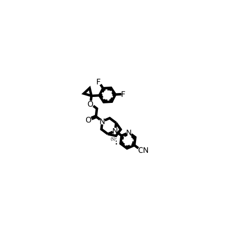 C[C@H]1CC2CN(C(=O)COC3(c4ccc(F)cc4F)CC3)CC1N2c1ccc(C#N)cn1